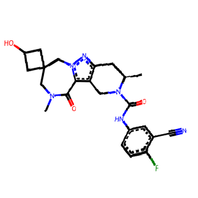 C[C@@H]1Cc2nn3c(c2CN1C(=O)Nc1ccc(F)c(C#N)c1)C(=O)N(C)CC1(CC(O)C1)C3